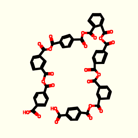 O=C(O)c1ccc(C(=O)OC(=O)c2cccc(C(=O)OC(=O)c3ccc(C(=O)OC(=O)c4ccccc4C(=O)OC(=O)c4ccc(C(=O)OC(=O)c5cccc(C(=O)OC(=O)c6ccc(C(=O)O)cc6)c5)cc4)cc3)c2)cc1